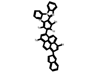 [2H]c1c([2H])c(-c2nc3ccccc3n2-c2ccccc2)c([2H])c([2H])c1-c1cc([2H])c2ccc3c(-c4ccc5ccccc5c4)cc([2H])c4ccc1c2c43